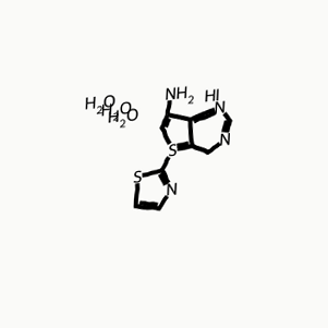 I.NC1=CS(c2nccs2)=C2CN=CN=C12.O.O.O